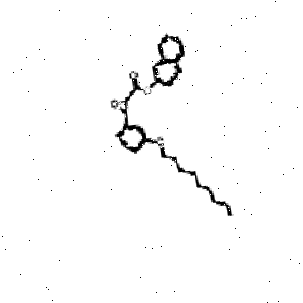 CCCCCCCCCOc1cccc(C2OC2C(=O)Oc2ccc3ccccc3c2)c1